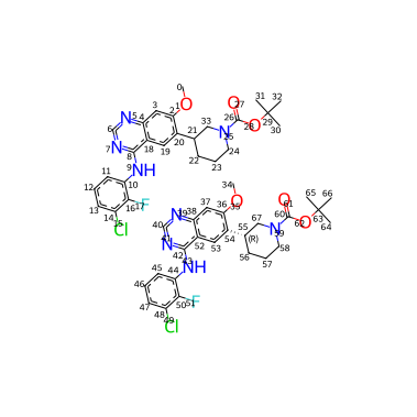 COc1cc2ncnc(Nc3cccc(Cl)c3F)c2cc1C1CCCN(C(=O)OC(C)(C)C)C1.COc1cc2ncnc(Nc3cccc(Cl)c3F)c2cc1[C@H]1CCCN(C(=O)OC(C)(C)C)C1